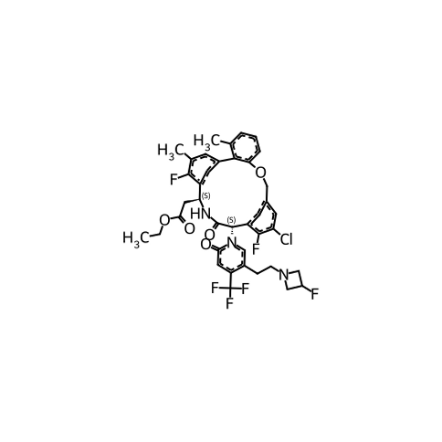 CCOC(=O)C[C@@H]1NC(=O)[C@@H](n2cc(CCN3CC(F)C3)c(C(F)(F)F)cc2=O)c2cc(cc(Cl)c2F)COc2cccc(C)c2-c2cc(C)c(F)c1c2